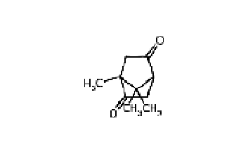 CC12CC(=O)C(CC1=O)C2(C)C